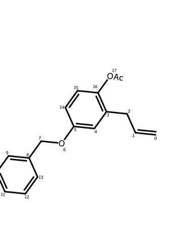 C=CCc1cc(OCc2ccccc2)ccc1OC(C)=O